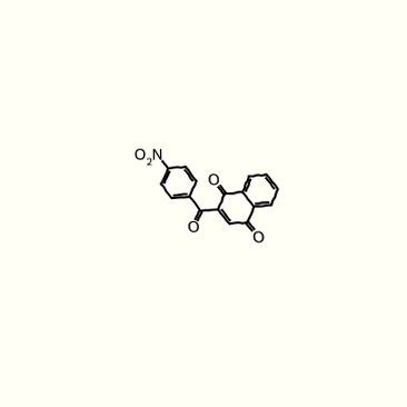 O=C(C1=CC(=O)c2ccccc2C1=O)c1ccc([N+](=O)[O-])cc1